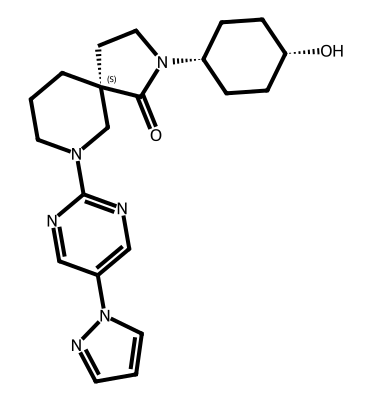 O=C1N([C@H]2CC[C@@H](O)CC2)CC[C@]12CCCN(c1ncc(-n3cccn3)cn1)C2